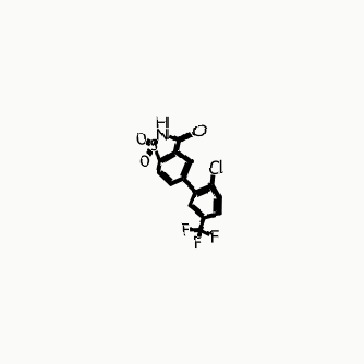 O=C1NS(=O)(=O)c2ccc(-c3cc(C(F)(F)F)ccc3Cl)cc21